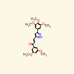 COc1cc(OC)cc(C(=O)/C=C/c2cc(-c3cc(OC)c(OC)c(OC)c3)n[nH]2)c1